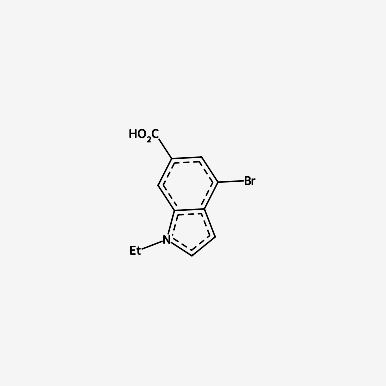 CCn1ccc2c(Br)cc(C(=O)O)cc21